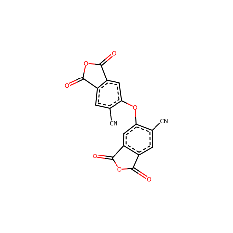 N#Cc1cc2c(cc1Oc1cc3c(cc1C#N)C(=O)OC3=O)C(=O)OC2=O